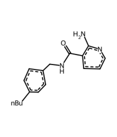 CCCCc1ccc(CNC(=O)c2cccnc2N)cc1